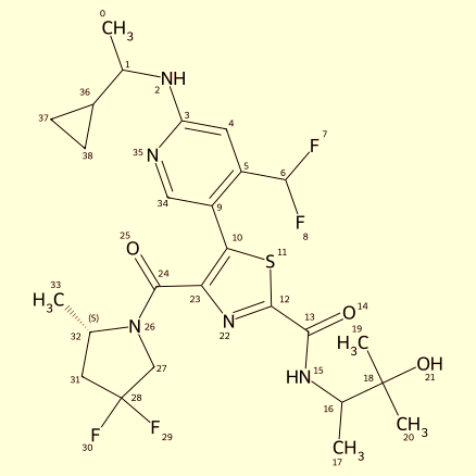 CC(Nc1cc(C(F)F)c(-c2sc(C(=O)NC(C)C(C)(C)O)nc2C(=O)N2CC(F)(F)C[C@@H]2C)cn1)C1CC1